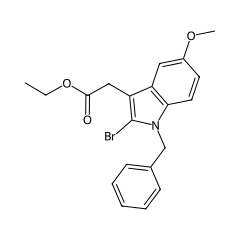 CCOC(=O)Cc1c(Br)n(Cc2ccccc2)c2ccc(OC)cc12